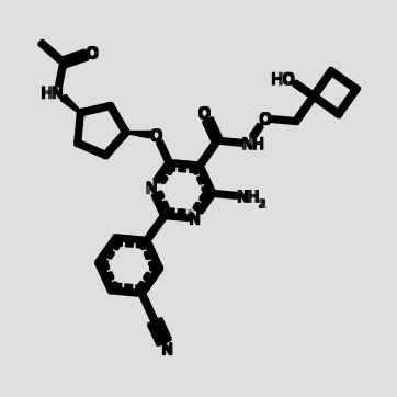 CC(=O)N[C@@H]1CC[C@H](Oc2nc(-c3cccc(C#N)c3)nc(N)c2C(=O)NOCC2(O)CCC2)C1